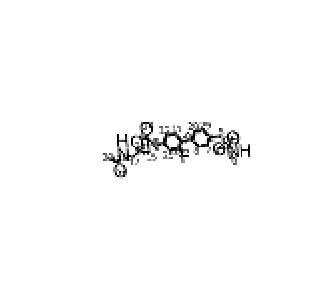 CNS(=O)(=O)Cc1ccc(-c2ccc(N3CC(CNC(C)=O)OC3=O)cc2F)cc1